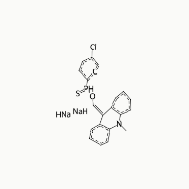 CN1c2ccccc2C(=CO[PH](=S)c2ccc(Cl)cc2)c2ccccc21.[NaH].[NaH]